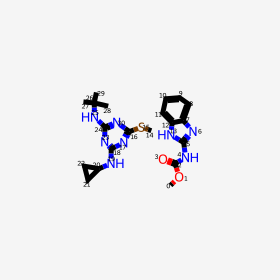 COC(=O)Nc1nc2ccccc2[nH]1.CSc1nc(NC2CC2)nc(NC(C)(C)C)n1